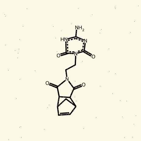 Nc1nc(=O)n(CCN2C(=O)C3C4C=CC(C4)C3C2=O)c(=O)[nH]1